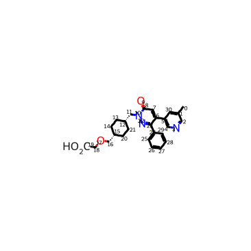 Cc1cncc(-c2cc(=O)n(C[C@H]3CC[C@@H](COCC(=O)O)CC3)nc2-c2ccccc2)c1